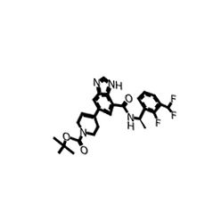 C[C@@H](NC(=O)c1cc(C2=CCN(C(=O)OC(C)(C)C)CC2)cc2nc[nH]c12)c1cccc(C(F)F)c1F